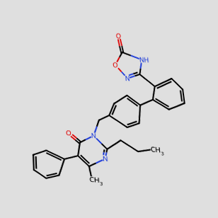 CCCc1nc(C)c(-c2ccccc2)c(=O)n1Cc1ccc(-c2ccccc2-c2noc(=O)[nH]2)cc1